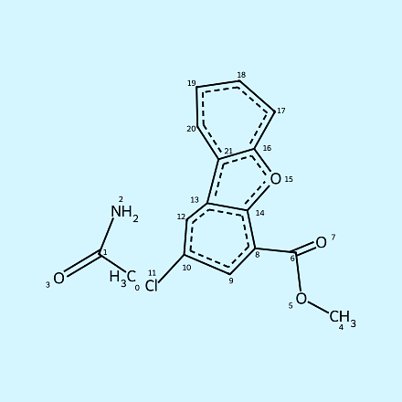 CC(N)=O.COC(=O)c1cc(Cl)cc2c1oc1ccccc12